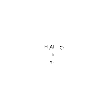 [AlH3].[Cr].[Ti].[Y]